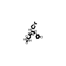 CC(C)N1CCC(Nc2cc(Nc3cccc(Cl)c3)nc3c(C=C4NC(=O)NC4=O)cnn23)CC1